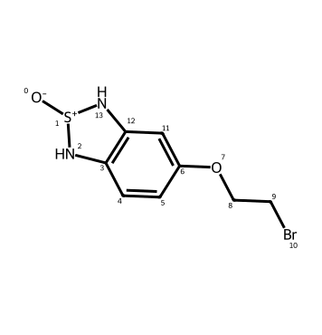 [O-][S+]1Nc2ccc(OCCBr)cc2N1